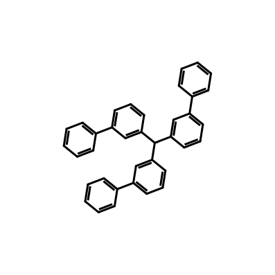 c1ccc(-c2cccc([C](c3cccc(-c4ccccc4)c3)c3cccc(-c4ccccc4)c3)c2)cc1